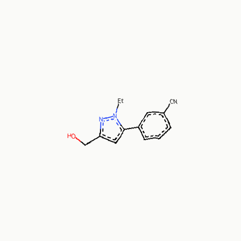 CCn1nc(CO)cc1-c1cccc(C#N)c1